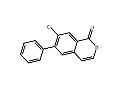 O=c1[nH]ccc2cc(-c3c[c]ccc3)c(Cl)cc12